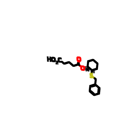 O=C(O)CCCC(=O)O[C@@H]1CCCC[C@H]1SCc1ccccc1